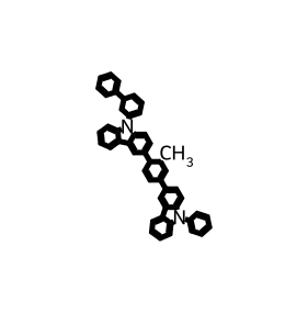 CC1C=C(c2ccc3c(c2)c2ccccc2n3-c2ccccc2)C=CC1c1ccc2c(c1)c1ccccc1n2C1=CC=CC(c2ccccc2)C1